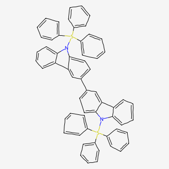 c1ccc(S(c2ccccc2)(c2ccccc2)n2c3ccccc3c3cc(-c4ccc5c(c4)c4ccccc4n5S(c4ccccc4)(c4ccccc4)c4ccccc4)ccc32)cc1